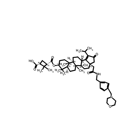 CC(C)C1=C2[C@H]3CC[C@@H]4[C@@]5(C)CC[C@H](OC(=O)[C@H]6C[C@@H](C(=O)O)C6(C)C)C(C)(C)[C@@H]5CC[C@@]4(C)[C@]3(C)CC[C@@]2(CC(=O)NCc2ccc(CN3CCOCC3)cc2)CC1=O